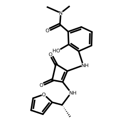 C[C@@H](Nc1c(Nc2cccc(C(=O)N(C)C)c2O)c(=O)c1=O)c1ccco1